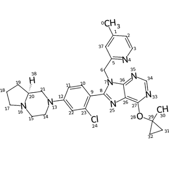 Cc1ccnc(Cn2c(-c3ccc(N4CCN5CCC[C@H]5C4)cc3Cl)nc3c(OC4(C)CC4)ncnc32)c1